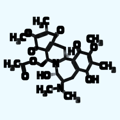 COC1=C(C)C(=O)C2=C(C1=O)[C@H](COC(C)=O)N1[C@@H](C2)C2=C(CC(N(C)C)[C@@H]1O)C(O)C(C)=C(OC)C2=O